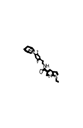 CCn1ccc2cc(C(=O)NCCc3cc(F)c(N4CC5CCC(C4)N5)cc3F)cnc21